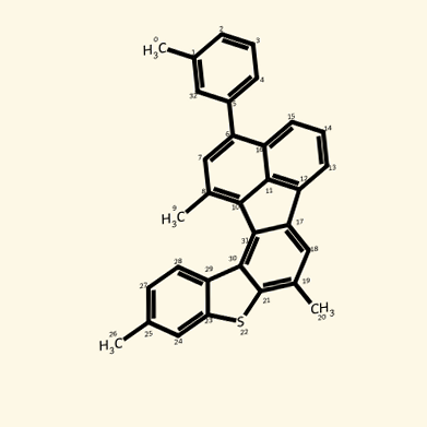 Cc1cccc(-c2cc(C)c3c4c(cccc24)-c2cc(C)c4sc5cc(C)ccc5c4c2-3)c1